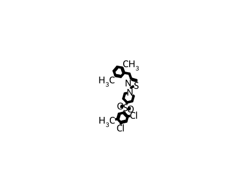 Cc1ccc(C)c(Cc2csc(N3CCC(S(=O)(=O)c4cc(C)c(Cl)cc4Cl)CC3)n2)c1